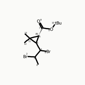 CC(Br)C(Br)C1[C@@H](C(=O)OC(C)(C)C)C1(C)C